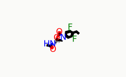 CCc1c(F)cc(N2C[C@H](CNC(C)=O)OC2=O)cc1F